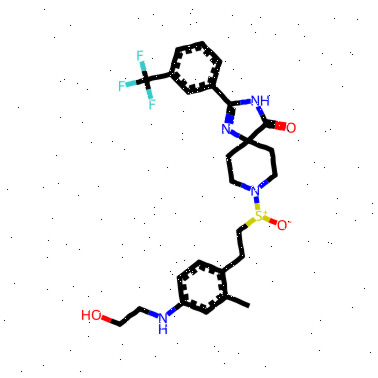 Cc1cc(NCCO)ccc1CC[S+]([O-])N1CCC2(CC1)N=C(c1cccc(C(F)(F)F)c1)NC2=O